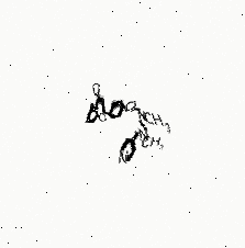 CN(CCOc1ccc(-c2cc(=O)c3ccccc3o2)cc1)CCN(C)Cc1ccncc1